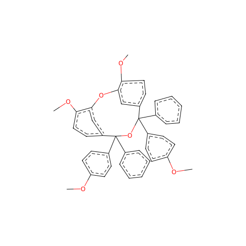 COc1ccc(C2(c3ccccc3)OC(c3ccccc3)(c3ccc(OC)cc3)c3ccc(OC)c(c3)Oc3cc2ccc3OC)cc1